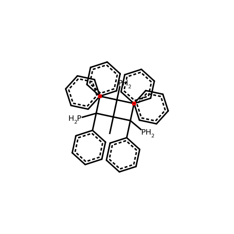 CC(C(P)(c1ccccc1)c1ccccc1)(C(P)(c1ccccc1)c1ccccc1)C(P)(c1ccccc1)c1ccccc1